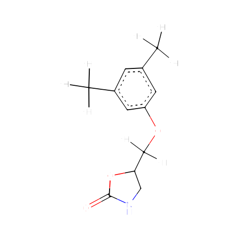 [2H]C([2H])([2H])c1cc(OC([2H])([2H])C2CNC(=O)O2)cc(C([2H])([2H])[2H])c1